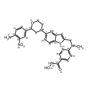 CN(Cc1cc2nc(N3CCOC(c4ccc(N)c([N+](=O)[O-])c4)C3)ncc2s1)c1ncc(C(=O)NO)cn1